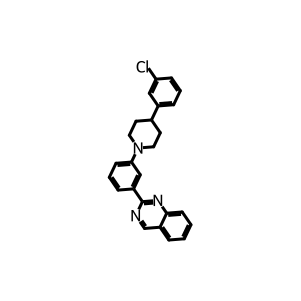 Clc1cccc(C2CCN(c3cccc(-c4ncc5ccccc5n4)c3)CC2)c1